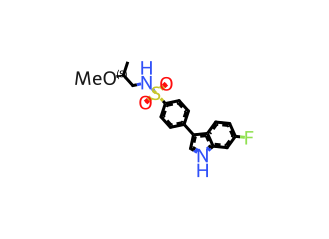 CO[C@@H](C)CNS(=O)(=O)c1ccc(-c2c[nH]c3cc(F)ccc23)cc1